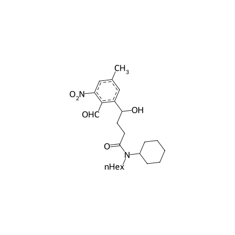 CCCCCCN(C(=O)CCC(O)c1cc(C)cc([N+](=O)[O-])c1C=O)C1CCCCC1